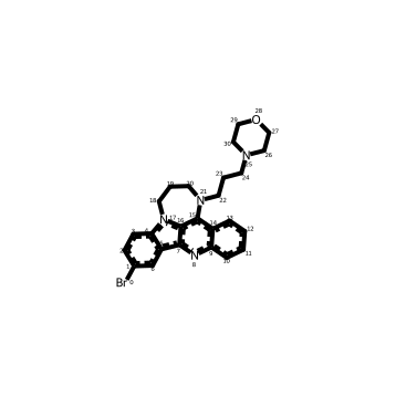 Brc1ccc2c(c1)c1nc3ccccc3c3c1n2CCCN3CCCN1CCOCC1